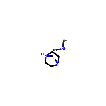 C1CN2CCN1CC2.CC(C)NC(C)C.[LiH]